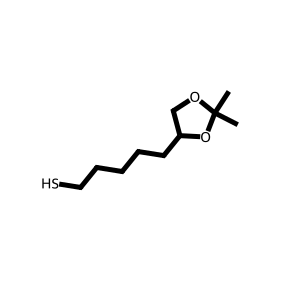 CC1(C)OCC(CCCCCS)O1